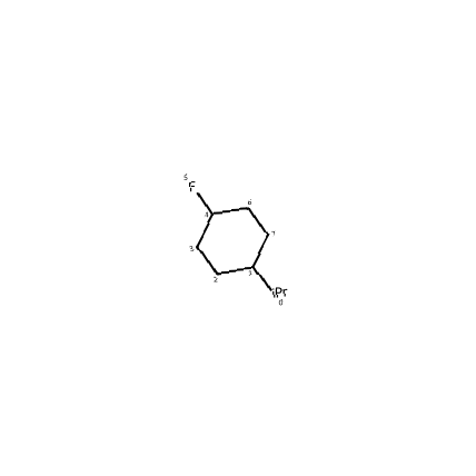 CC(C)C1CCC(F)CC1